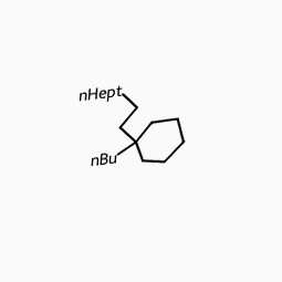 CCCCCCCCCC1(CCCC)CCCCC1